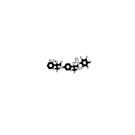 COC(C(=O)Oc1ccc([C@@](OC)(C(=O)Oc2c(F)c(F)c(F)c(F)c2F)C(F)(F)F)cc1)(c1ccccc1)C(F)(F)F